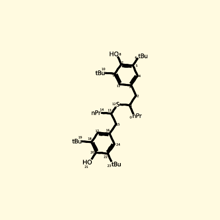 CCCC(Cc1cc(C(C)(C)C)c(O)c(C(C)(C)C)c1)SC(CCC)Cc1cc(C(C)(C)C)c(O)c(C(C)(C)C)c1